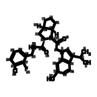 CC(O)c1cn(CC(=O)N2[C@@H]3CCC[C@@H]3C[C@H]2C(=O)NCc2cccc(Cl)c2F)c2cc(O)ccc12